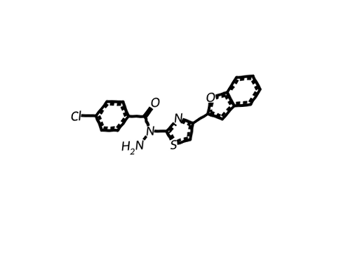 NN(C(=O)c1ccc(Cl)cc1)c1nc(-c2cc3ccccc3o2)cs1